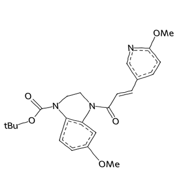 COc1ccc2c(c1)N(C(=O)C=Cc1ccc(OC)nc1)CCN2C(=O)OC(C)(C)C